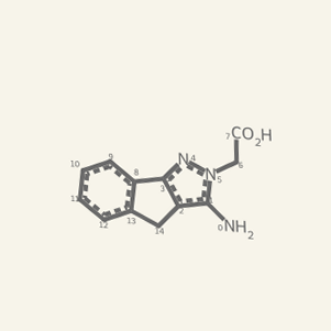 Nc1c2c(nn1CC(=O)O)-c1ccccc1C2